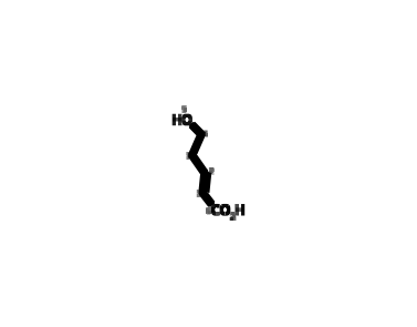 O=C(O)C=CCCO